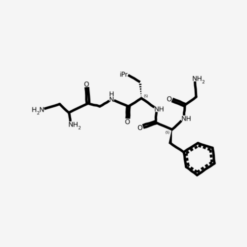 CC(C)C[C@H](NC(=O)[C@H](Cc1ccccc1)NC(=O)CN)C(=O)NCC(=O)C(N)CN